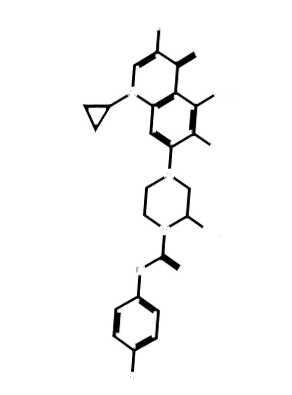 Cc1c(F)c(N2CCN(C(=S)Nc3ccc([N+](=O)[O-])cc3)C(C)C2)cc2c1c(=O)c(C(=O)O)cn2C1CC1